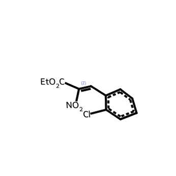 CCOC(=O)/C(=C/c1ccccc1Cl)[N+](=O)[O-]